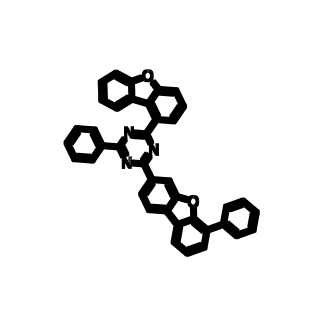 c1ccc(-c2nc(-c3ccc4c(c3)oc3c(-c5ccccc5)cccc34)nc(-c3cccc4oc5ccccc5c34)n2)cc1